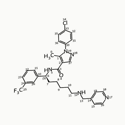 Cc1c(C(=O)N[C@@H](CCCCCNCc2ccncc2)c2cccc(C(F)(F)F)c2)cnn1-c1ccc(Cl)cc1